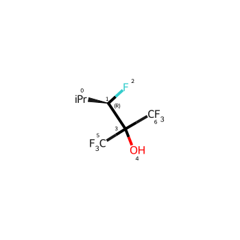 CC(C)[C@@H](F)C(O)(C(F)(F)F)C(F)(F)F